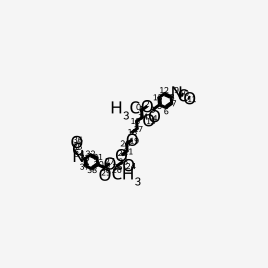 CC(OC(=O)c1ccc(N=C=O)cc1)C(=O)CCCOCCOC(=O)C(C)OC(=O)c1ccc(N=C=O)cc1